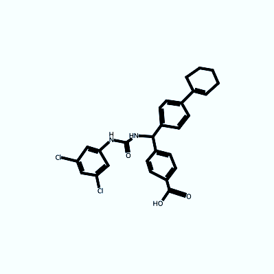 O=C(Nc1cc(Cl)cc(Cl)c1)NC(c1ccc(C(=O)O)cc1)c1ccc(C2=CCCCC2)cc1